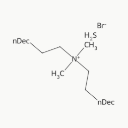 CCCCCCCCCCCC[N+](C)(C)CCCCCCCCCCCC.S.[Br-]